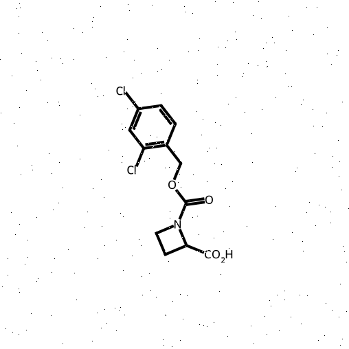 O=C(O)C1CCN1C(=O)OCc1ccc(Cl)cc1Cl